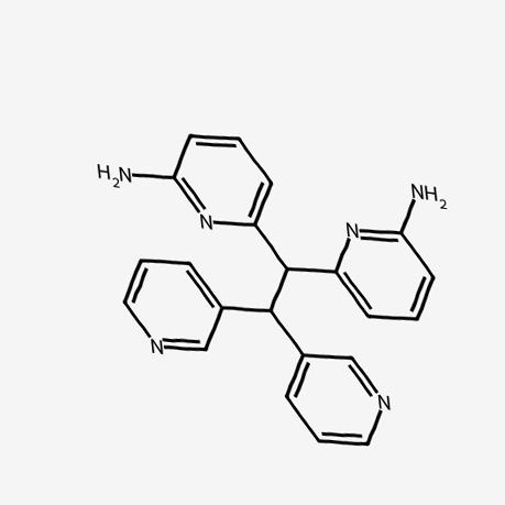 Nc1cccc(C(c2cccc(N)n2)C(c2cccnc2)c2cccnc2)n1